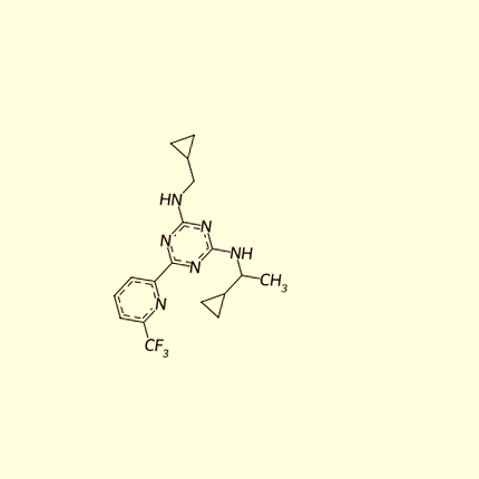 CC(Nc1nc(NCC2CC2)nc(-c2cccc(C(F)(F)F)n2)n1)C1CC1